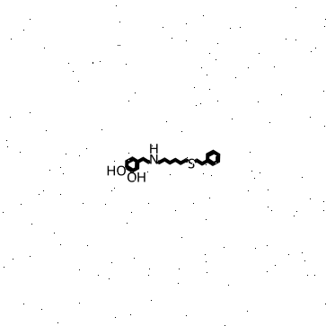 Oc1ccc(CCNCCCCCCSCCc2ccccc2)cc1O